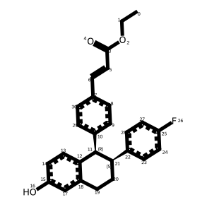 CCOC(=O)C=Cc1ccc([C@@H]2c3ccc(O)cc3CC[C@@H]2c2ccc(F)cc2)cc1